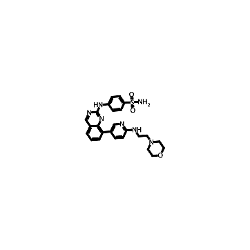 NS(=O)(=O)c1ccc(Nc2ncc3cccc(-c4ccc(NCCN5CCOCC5)nc4)c3n2)cc1